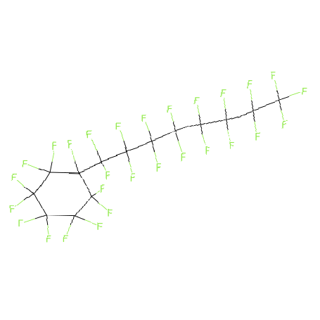 FC(F)(F)C(F)(F)C(F)(F)C(F)(F)C(F)(F)C(F)(F)C(F)(F)C(F)(F)C1(F)C(F)(F)C(F)(F)C(F)(F)C(F)(F)C1(F)F